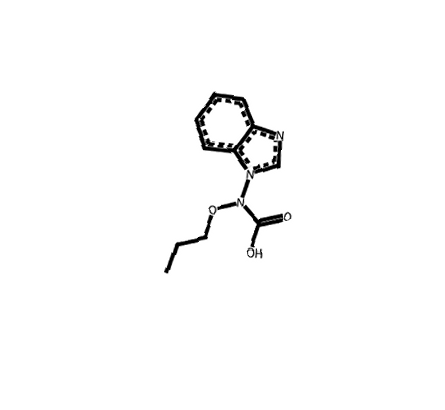 CCCON(C(=O)O)n1cnc2ccccc21